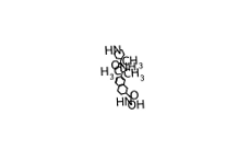 CC1(C(=O)NC(C)(C)c2ccc3c(c2)CC(C(=O)NO)CC3)CCNCC1